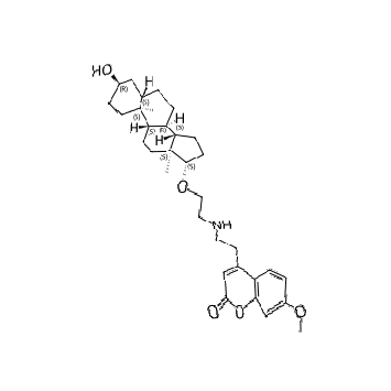 COc1ccc2c(CCNCCO[C@H]3CC[C@H]4[C@@H]5CC[C@H]6C[C@H](O)CC[C@]6(C)[C@H]5CC[C@]34C)cc(=O)oc2c1